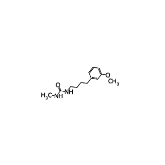 CNC(=O)NCCCCc1cccc(OC)c1